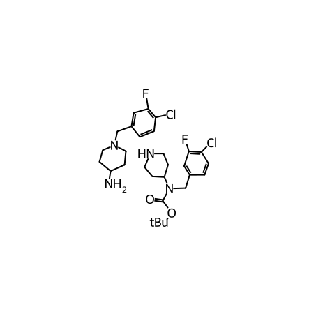 CC(C)(C)OC(=O)N(Cc1ccc(Cl)c(F)c1)C1CCNCC1.NC1CCN(Cc2ccc(Cl)c(F)c2)CC1